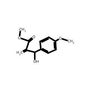 C=C(C(=O)OC)C(O)c1ccc(OC)cc1